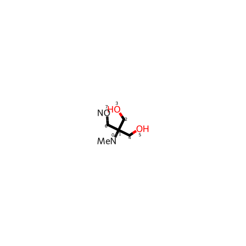 CNC(CO)(CO)CN=O